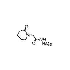 CNNC(=O)CN1CCCCC1=O